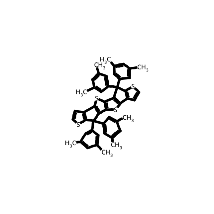 Cc1cc(C)cc(C2(c3cc(C)cc(C)c3)c3sccc3-c3sc4c5c(sc4c32)-c2ccsc2C5(c2cc(C)cc(C)c2)c2cc(C)cc(C)c2)c1